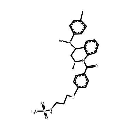 CC(=O)N(c1ccc(I)cc1)[C@@H]1C[C@H](C)N(C(=O)c2ccc(OCCCNS(=O)(=O)C(F)(F)F)cc2)c2ccccc21